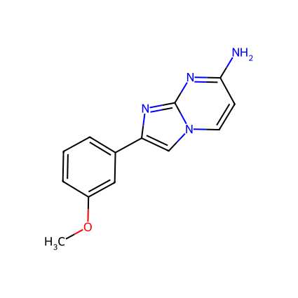 COc1cccc(-c2cn3ccc(N)nc3n2)c1